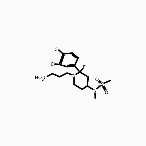 CN(C1CCN(CCCC(=O)O)C(F)(c2ccc(Cl)c(Cl)c2)C1)S(C)(=O)=O